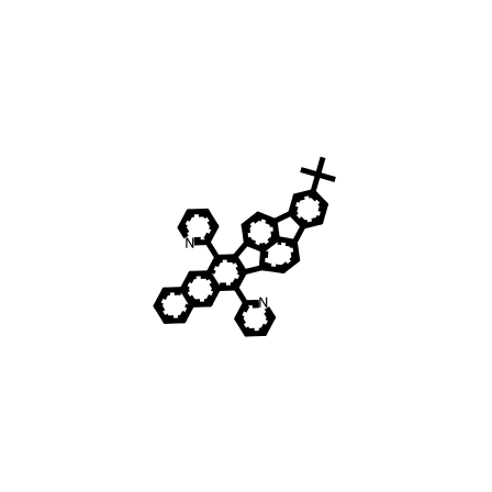 CC(C)(C)c1ccc2c(c1)-c1ccc3c4c(ccc-2c14)-c1c-3c(-c2ccccn2)c2cc3ccccc3cc2c1-c1ccccn1